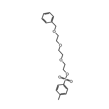 Cc1ccc(S(=O)(=O)OCCOCCOCCOCc2ccccc2)cc1